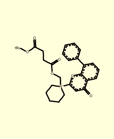 CC(C)(C)OC(=O)CCC(=O)OC[N+]1(c2cc(=O)c3cccc(-c4ccccc4)c3o2)CCCCC1